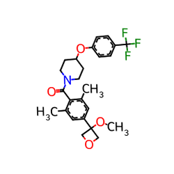 COC1(c2cc(C)c(C(=O)N3CCC(Oc4ccc(C(F)(F)F)cc4)CC3)c(C)c2)COC1